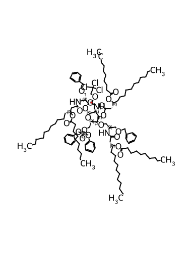 CCCCCCCCCCC[C@H](CC(=O)N[C@H](COCc1ccccc1)CO[C@H]1O[C@H](COP(=O)(Oc2ccccc2)Oc2ccccc2)[C@@H](OC[C@@H](COCc2ccccc2)NC(=O)C[C@@H](CCCCCCCCCCC)OC(=O)CCCCCCCCC)[C@H](OC(=O)C[C@@H](CCCCCCCCCCC)OC(=O)CCCCCCCCC)[C@@H]1NC(=O)OCC(Cl)(Cl)Cl)OC(=O)CCCCCCCCC